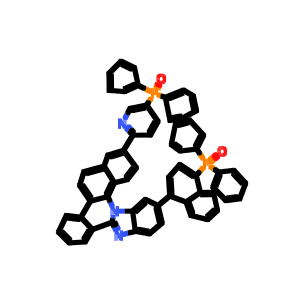 O=P(c1ccccc1)(c1ccccc1)c1ccc(-c2ccc3c(ccc4c5ccccc5c5nc6ccc(-c7ccc(P(=O)(c8ccccc8)c8ccccc8)c8ccccc78)cc6n5c34)c2)nc1